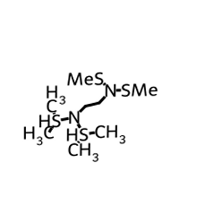 CSN(CCN([SH](C)C)[SH](C)C)SC